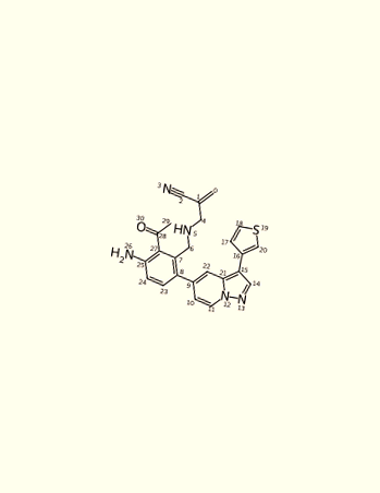 C=C(C#N)CNCc1c(-c2ccn3ncc(-c4ccsc4)c3c2)ccc(N)c1C(C)=O